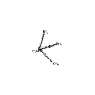 CCCCCCCCCCCCCCCCCCCCOc1cc(CC)cc(OCCCCCCCCCCCCCCCCCCCC)c1OCCCCCCCCCCCCCCCCCCCC